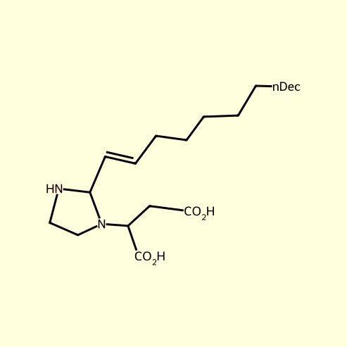 CCCCCCCCCCCCCCCC=CC1NCCN1C(CC(=O)O)C(=O)O